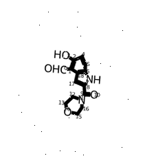 O=Cc1c(O)ccc2[nH]c(C(=O)N3CCOCC3)cc12